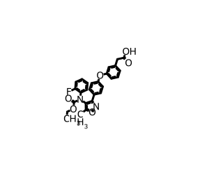 CCOC(=O)N(c1ccccc1F)c1c(-c2ccc(Oc3cccc(CC(=O)O)c3)cc2)noc1C